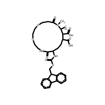 CC1C(C(=O)O)C(C(=O)O)CCC(NC(=O)OCC2c3ccccc3-c3ccccc32)C(=O)NCCOCCOCCC(=O)N1C